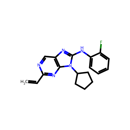 C=Cc1ncc2nc(Nc3ccccc3F)n(C3CCCC3)c2n1